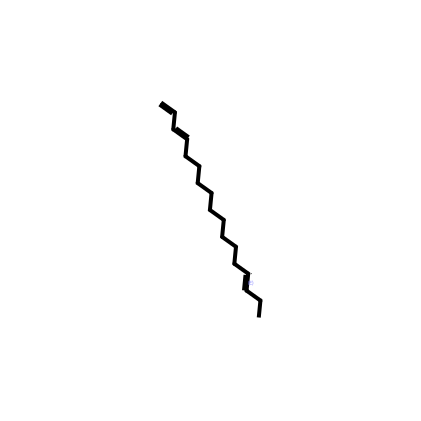 C=CC=CCCCCCCCCC/[C]=C/CC